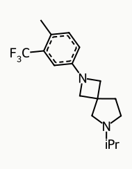 Cc1ccc(N2CC3(CCN(C(C)C)C3)C2)cc1C(F)(F)F